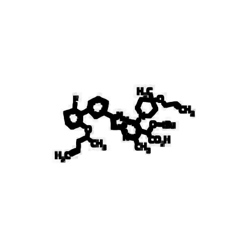 C=CCOC1(C)CCN(c2c(C(OC(C)(C)C)C(=O)O)c(C)nc3cc(-c4cccc(-c5c(F)cccc5O[C@@H](C)CC=C)c4)nn23)CC1